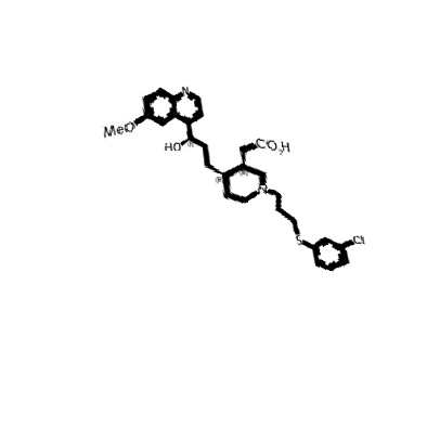 COc1ccc2nccc([C@H](O)CC[C@@H]3CCN(CCCSc4cccc(Cl)c4)C[C@@H]3CC(=O)O)c2c1